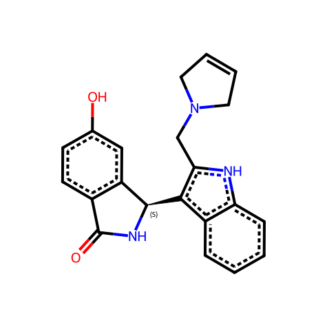 O=C1N[C@H](c2c(CN3CC=CC3)[nH]c3ccccc23)c2cc(O)ccc21